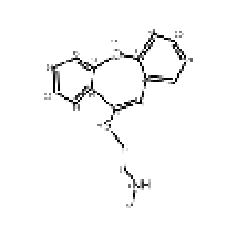 CNCCSC1=Cc2ccccc2Oc2ccccc21